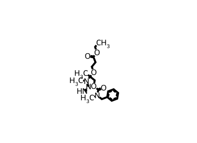 CCOC(=O)CCOC(C)(COC(=O)N(C)Cc1ccccc1)N(C)N=N